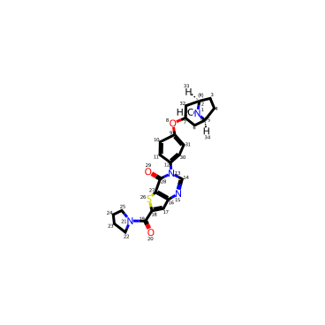 CN1[C@@H]2CC[C@H]1CC(Oc1ccc(-n3cnc4cc(C(=O)N5CCCC5)sc4c3=O)cc1)C2